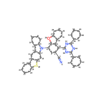 N#Cc1cc(-n2c3ccccc3c3cc4c(cc32)sc2ccccc24)c2oc3ccccc3c2c1-c1nc(-c2ccccc2)nc(-c2ccccc2)n1